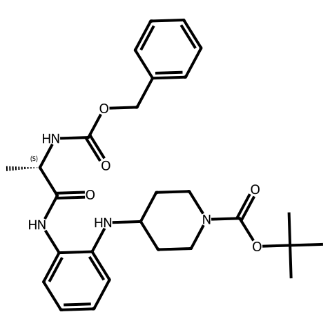 C[C@H](NC(=O)OCc1ccccc1)C(=O)Nc1ccccc1NC1CCN(C(=O)OC(C)(C)C)CC1